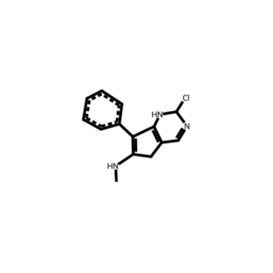 CNC1=C(c2ccccc2)C2=C(C=NC(Cl)N2)C1